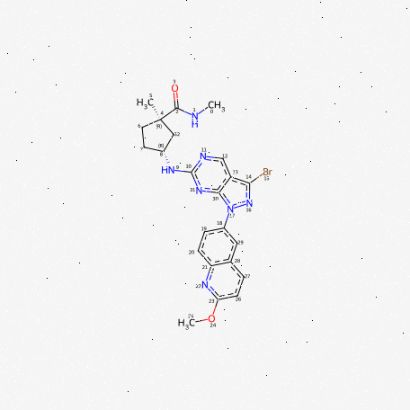 CNC(=O)[C@]1(C)CC[C@@H](Nc2ncc3c(Br)nn(-c4ccc5nc(OC)ccc5c4)c3n2)C1